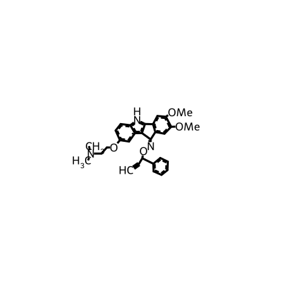 C#CC(ON=C1c2cc(OC)c(OC)cc2-c2[nH]c3ccc(OCCN(C)C)cc3c21)c1ccccc1